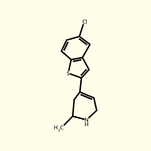 CC1CC(c2cc3cc(Cl)ccc3s2)=CCN1